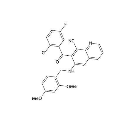 COc1ccc(CNc2cc3cccnc3c(C#N)c2C(=O)c2cc(F)ccc2Cl)c(OC)c1